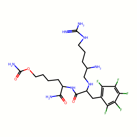 N=C(N)NCCCC(N)CNC(Cc1c(F)c(F)c(F)c(F)c1F)C(=O)NC(CCCCOC(N)=O)C(N)=O